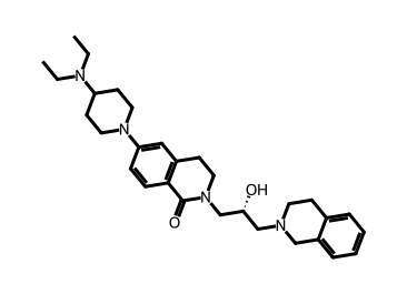 CCN(CC)C1CCN(c2ccc3c(c2)CCN(C[C@H](O)CN2CCc4ccccc4C2)C3=O)CC1